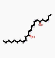 CC/C=C\CC(O)\C=C/C=C/C=C/C(O)C/C=C\CCCCCCC